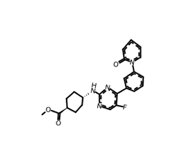 COC(=O)[C@H]1CC[C@H](Nc2ncc(F)c(-c3cccc(-n4ccccc4=O)c3)n2)CC1